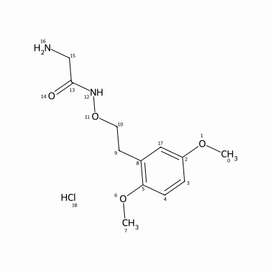 COc1ccc(OC)c(CCONC(=O)CN)c1.Cl